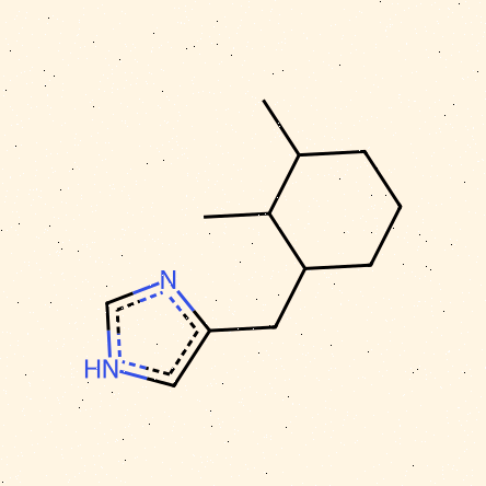 CC1CCCC(Cc2c[nH]cn2)C1C